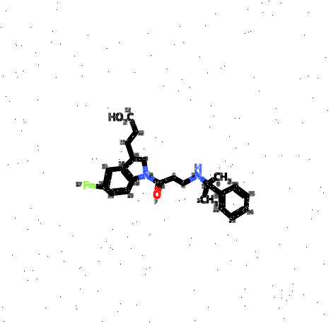 CC(C)(NCCC(=O)N1CC(CCC(=O)O)c2cc(F)ccc21)c1ccccc1